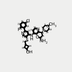 CN1CCN(C(CC(N)=O)c2cc(Nc3cc(-c4cc(Cl)ccc4F)nnc3SCC3CC(O)C3)ccn2)CC1